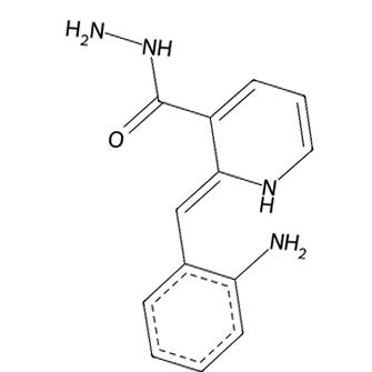 NNC(=O)C1=CC=CNC1=Cc1ccccc1N